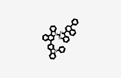 C1=C(c2nc(-n3c4ccccc4c4c5ccccc5c(-c5ccc6c7ccccc7n(-c7ccccc7)c6c5)cc43)nc3ccccc23)c2ccccc2C(c2ccccc2)C1